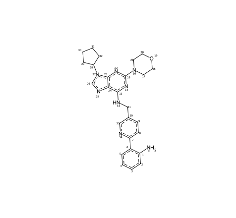 Nc1ccccc1-c1ccc(CNc2nc(N3CCOCC3)nc3c2ncn3C2CCCC2)cn1